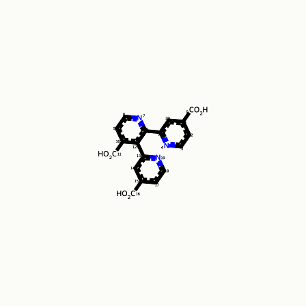 O=C(O)c1ccnc(-c2nccc(C(=O)O)c2-c2cc(C(=O)O)ccn2)c1